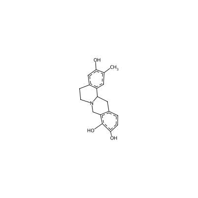 Cc1cc2c(cc1O)CCN1Cc3c(ccc(O)c3O)CC21